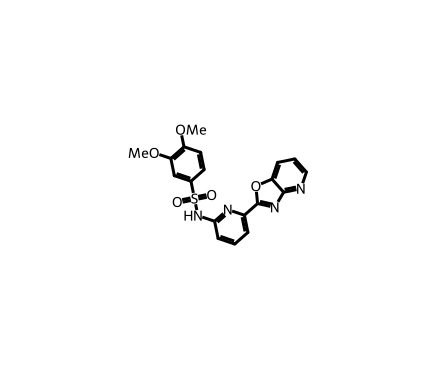 COc1ccc(S(=O)(=O)Nc2cccc(-c3nc4ncccc4o3)n2)cc1OC